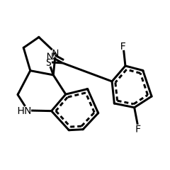 Fc1ccc(F)c(C2=NN3CCC4CNc5ccccc5C43S2)c1